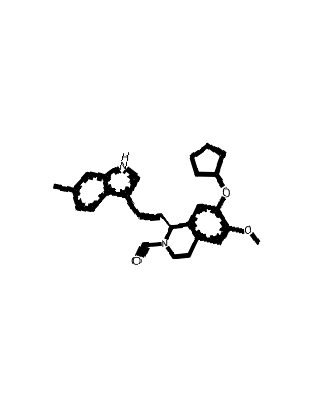 COc1cc2c(cc1OC1CCCC1)[C@H](/C=C/c1c[nH]c3cc(C)ccc13)N(C=O)CC2